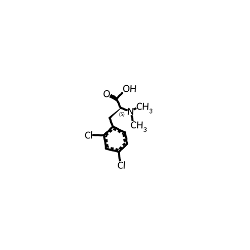 CN(C)[C@@H](Cc1ccc(Cl)cc1Cl)C(=O)O